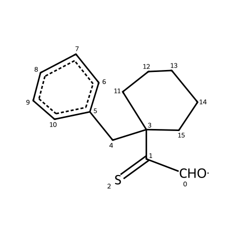 O=[C]C(=S)C1(Cc2ccccc2)CCCCC1